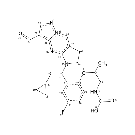 CC(CNC(=O)O)Oc1ccc(F)cc1C(CC1CC1)N1CCc2cn3ncc(C=O)c3nc21